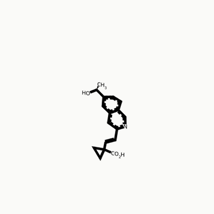 C[C@@H](O)c1ccc2cnc(C=CC3(C(=O)O)CC3)cc2c1